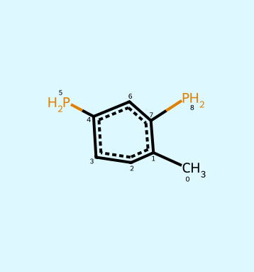 Cc1ccc(P)cc1P